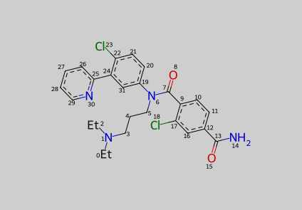 CCN(CC)CCCN(C(=O)c1ccc(C(N)=O)cc1Cl)c1ccc(Cl)c(-c2ccccn2)c1